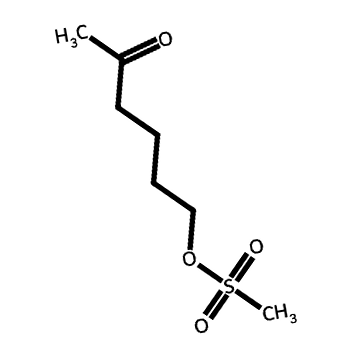 CC(=O)CCCCOS(C)(=O)=O